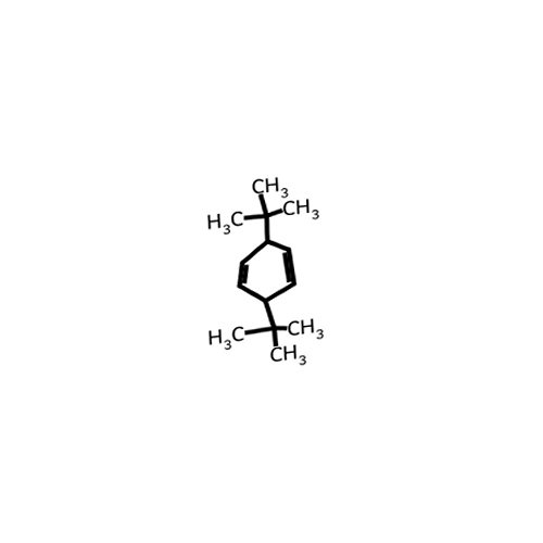 CC(C)(C)C1C=CC(C(C)(C)C)C=C1